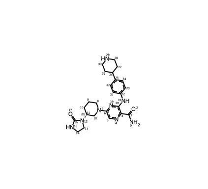 NC(=O)c1ncc(N2CCC[C@@H](N3CCNC3=O)C2)nc1Nc1ccc(C2CCNCC2)cc1